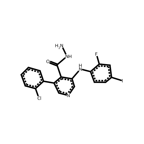 NNC(=O)c1c(Nc2ccc(I)cc2F)cncc1-c1ccccc1Cl